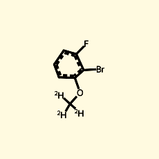 [2H]C([2H])([2H])Oc1cccc(F)c1Br